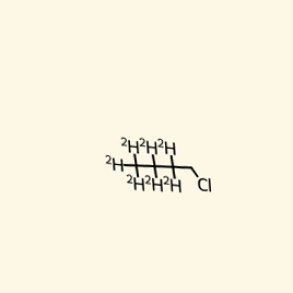 [2H]C([2H])([2H])C([2H])([2H])C([2H])([2H])CCl